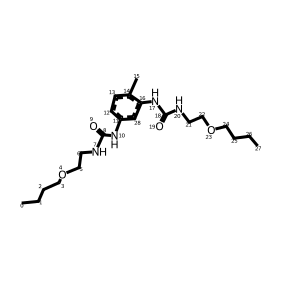 CCCCOCCNC(=O)Nc1ccc(C)c(NC(=O)NCCOCCCC)c1